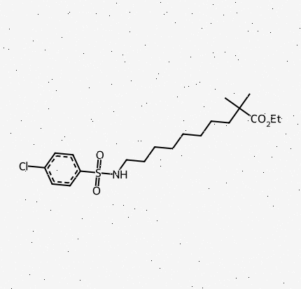 CCOC(=O)C(C)(C)CCCCCCCCNS(=O)(=O)c1ccc(Cl)cc1